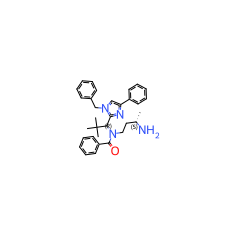 C[C@H](N)CCN(C(=O)c1ccccc1)[C@@H](c1nc(-c2ccccc2)cn1Cc1ccccc1)C(C)(C)C